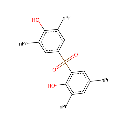 CCCc1cc(CCC)c(O)c(S(=O)(=O)c2cc(CCC)c(O)c(CCC)c2)c1